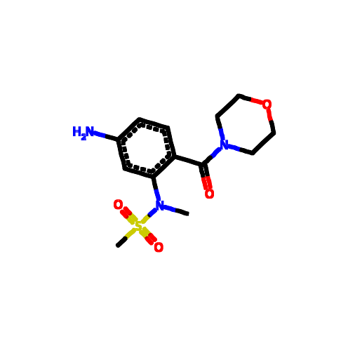 CN(c1cc(N)ccc1C(=O)N1CCOCC1)S(C)(=O)=O